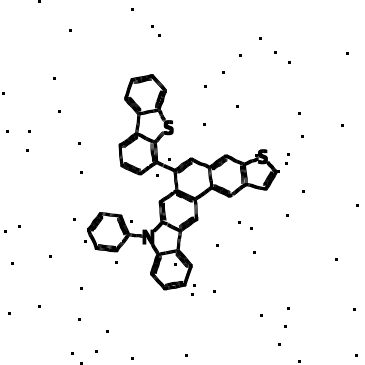 c1ccc(-n2c3ccccc3c3cc4c(cc32)c(-c2cccc3c2sc2ccccc23)cc2cc3sccc3cc24)cc1